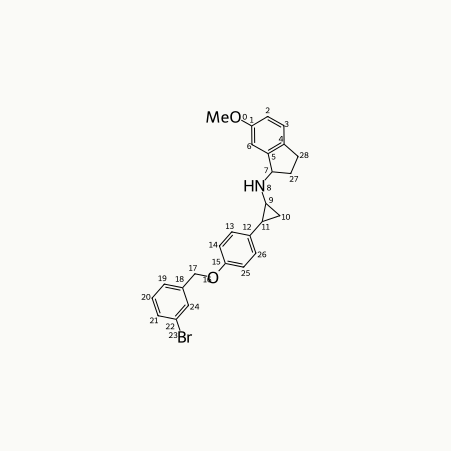 COc1ccc2c(c1)C(NC1CC1c1ccc(OCc3cccc(Br)c3)cc1)CC2